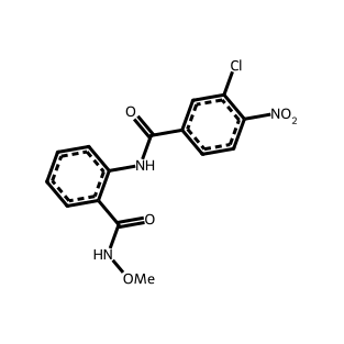 CONC(=O)c1ccccc1NC(=O)c1ccc([N+](=O)[O-])c(Cl)c1